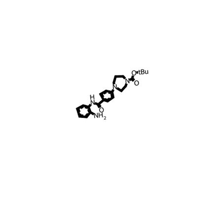 CC(C)(C)OC(=O)N1CCCN(c2ccc(C(=O)Nc3ccccc3N)cc2)CC1